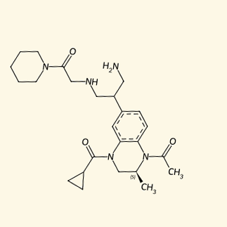 CC(=O)N1c2ccc(C(CN)CNCC(=O)N3CCCCC3)cc2N(C(=O)C2CC2)C[C@@H]1C